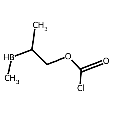 CBC(C)COC(=O)Cl